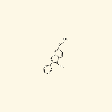 CCOc1ccc2c(c1)cc(-c1ccccc1)n2C